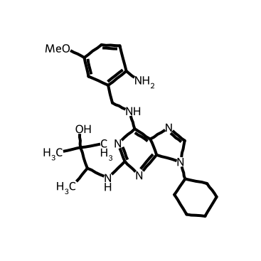 COc1ccc(N)c(CNc2nc(NC(C)C(C)(C)O)nc3c2ncn3C2CCCCC2)c1